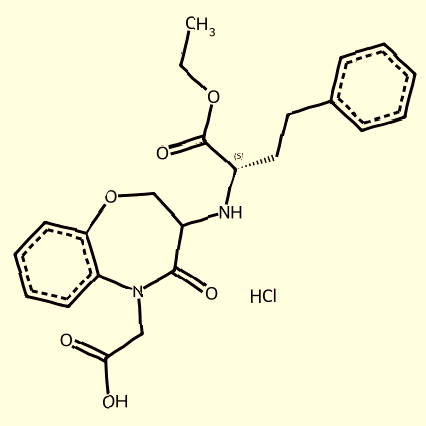 CCOC(=O)[C@H](CCc1ccccc1)NC1COc2ccccc2N(CC(=O)O)C1=O.Cl